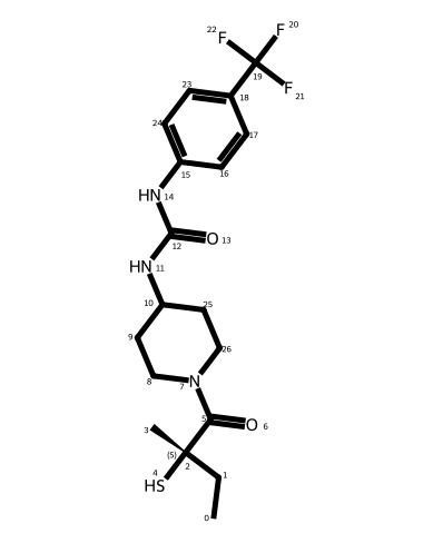 CC[C@](C)(S)C(=O)N1CCC(NC(=O)Nc2ccc(C(F)(F)F)cc2)CC1